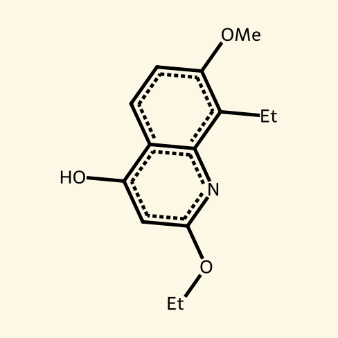 CCOc1cc(O)c2ccc(OC)c(CC)c2n1